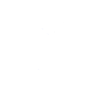 CC(C)(C)OC(=O)N(N)c1ccc(C(C)(C)N2CCOCC2)cc1